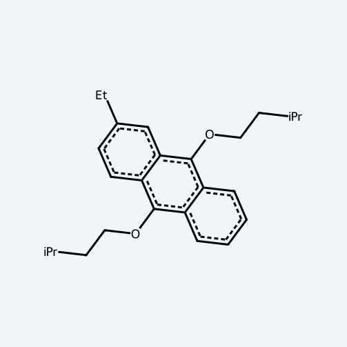 CCc1ccc2c(OCCC(C)C)c3ccccc3c(OCCC(C)C)c2c1